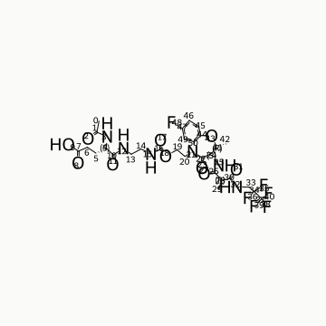 CC(=O)N[C@@H](CCC(=O)O)C(=O)NCCNC(=O)OCCN1C(=O)[C@@H](NC(=O)[C@H](C)C(=O)NCC(F)(F)C(F)(F)F)[C@@H](C)Oc2ccc(F)cc21